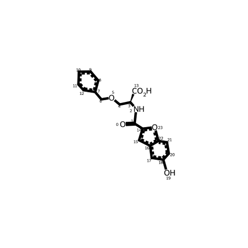 O=C(N[C@@H](COCc1ccccc1)C(=O)O)c1cc2cc(O)ccc2o1